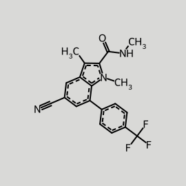 CNC(=O)c1c(C)c2cc(C#N)cc(-c3ccc(C(F)(F)F)cc3)c2n1C